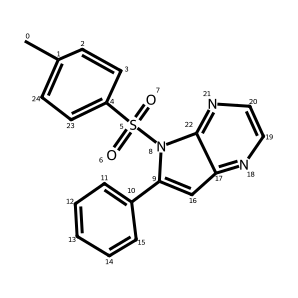 Cc1ccc(S(=O)(=O)n2c(-c3ccccc3)cc3nccnc32)cc1